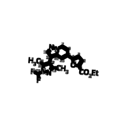 CCOC(=O)c1ccc(-c2ccn3ncc(-c4c(C)nn(C(F)F)c4C)c3c2)o1